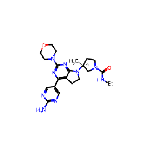 CCNC(=O)N1CC[C@](C)(N2CCc3c(-c4cnc(N)nc4)nc(N4CCOCC4)nc32)C1